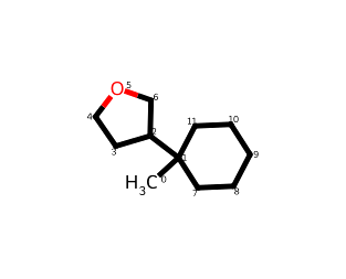 CC1(C2CCOC2)CCCCC1